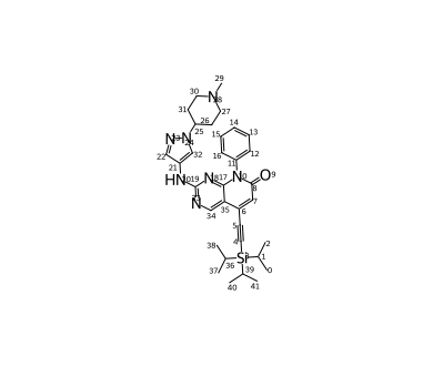 CC(C)[Si](C#Cc1cc(=O)n(-c2ccccc2)c2nc(Nc3cnn(C4CCN(C)CC4)c3)ncc12)(C(C)C)C(C)C